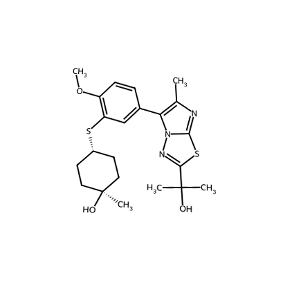 COc1ccc(-c2c(C)nc3sc(C(C)(C)O)nn23)cc1S[C@H]1CC[C@](C)(O)CC1